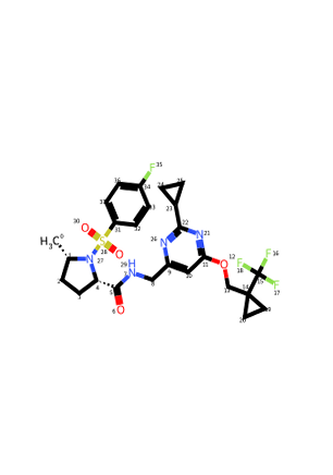 C[C@H]1CC[C@@H](C(=O)NCc2cc(OCC3(C(F)(F)F)CC3)nc(C3CC3)n2)N1S(=O)(=O)c1ccc(F)cc1